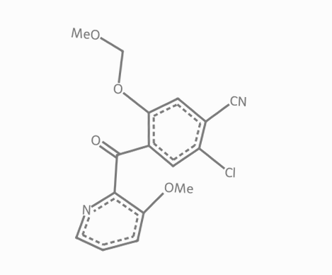 COCOc1cc(C#N)c(Cl)cc1C(=O)c1ncccc1OC